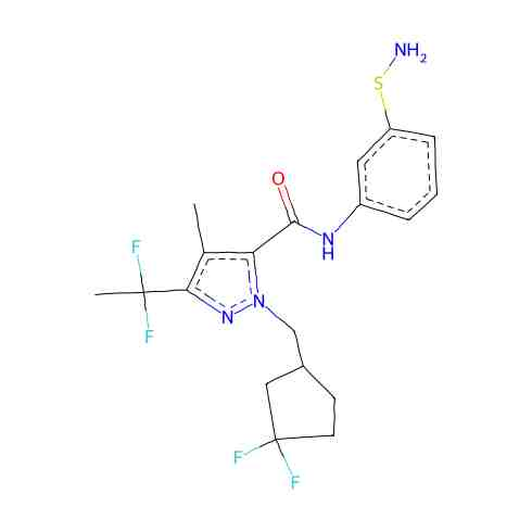 Cc1c(C(C)(F)F)nn(CC2CCC(F)(F)C2)c1C(=O)Nc1cccc(SN)c1